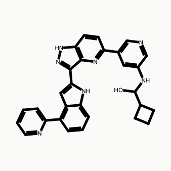 OC(Nc1cncc(-c2ccc3[nH]nc(-c4cc5c(-c6ccccn6)cccc5[nH]4)c3n2)c1)C1CCC1